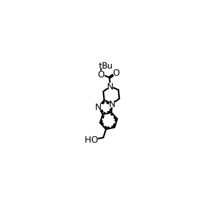 CC(C)(C)OC(=O)N1CCn2c(nc3cc(CO)ccc32)C1